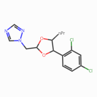 CCCC1OC(Cn2cncn2)OC1c1ccc(Cl)cc1Cl